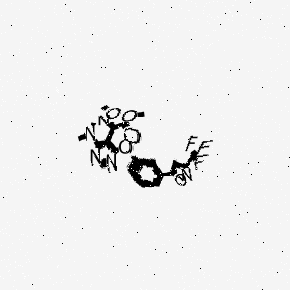 CON=C(C(=O)OC)c1c(Oc2cccc(-c3cc(C(F)(F)F)no3)c2)ncnc1N(C)C